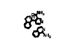 NC(=O)c1cnccc1C1NCCc2ccccc21.Nc1nccc2ccccc12